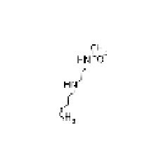 CC(=O)NCCCNCCCCN